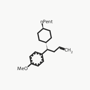 C=CCC(c1ccc(OC)cc1)[C@H]1CC[C@H](CCCCC)CC1